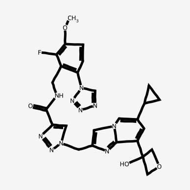 COc1ccc(-n2cnnn2)c(CNC(=O)c2cn(Cc3cn4cc(C5CC5)cc(C5(O)COC5)c4n3)nn2)c1F